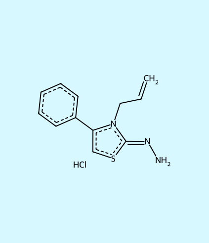 C=CCn1c(-c2ccccc2)cs/c1=N\N.Cl